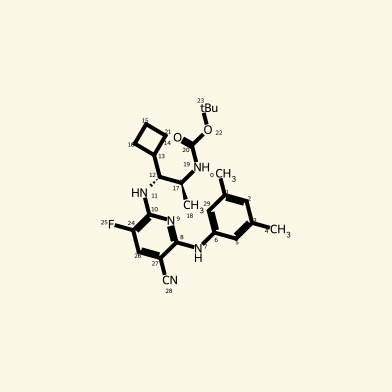 Cc1cc(C)cc(Nc2nc(N[C@H](C3CCC3)[C@H](C)NC(=O)OC(C)(C)C)c(F)cc2C#N)c1